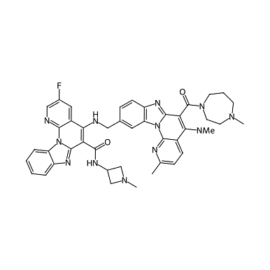 CNc1c(C(=O)N2CCCN(C)CC2)c2nc3ccc(CNc4c(C(=O)NC5CN(C)C5)c5nc6ccccc6n5c5ncc(F)cc45)cc3n2c2nc(C)ccc12